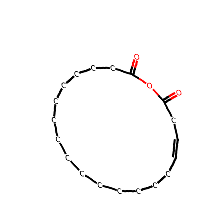 O=C1CC=CCCCCCCCCCCCCCCC(=O)O1